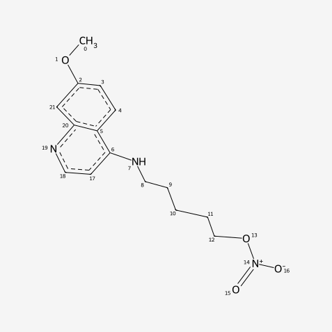 COc1ccc2c(NCCCCCO[N+](=O)[O-])ccnc2c1